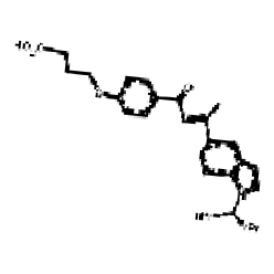 CCCC(CCC)n1ccc2cc(C(C)=CC(=O)c3ccc(OCCCC(=O)O)cc3)ccc21